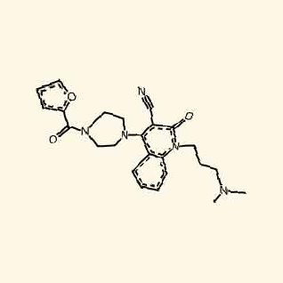 CN(C)CCCn1c(=O)c(C#N)c(N2CCN(C(=O)c3ccco3)CC2)c2ccccc21